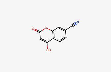 N#Cc1ccc2c(O)cc(=O)oc2c1